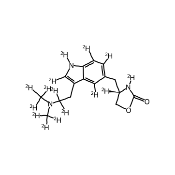 [2H]c1c(C[C@@]2([2H])COC(=O)N2[2H])c([2H])c2c(CC([2H])([2H])N(C([2H])([2H])[2H])C([2H])([2H])[2H])c([2H])n([2H])c2c1[2H]